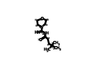 CC(C)(C)CCC(=O)NC(=N)N1CCOCC1